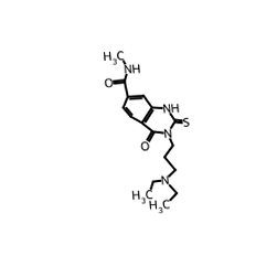 CCN(CC)CCCn1c(=S)[nH]c2cc(C(=O)NC)ccc2c1=O